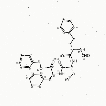 CC(C)C[C@@H](NC(=O)[C@H](CCc1ccccc1)NC=O)C(=O)N[C@@H](Cc1ccccc1)C(=O)OCc1ccccc1